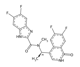 C[C@H](c1c[nH]c(=O)c2cc(F)c(F)cc12)N(C)C(=O)c1nc2cc(F)c(F)cc2[nH]1